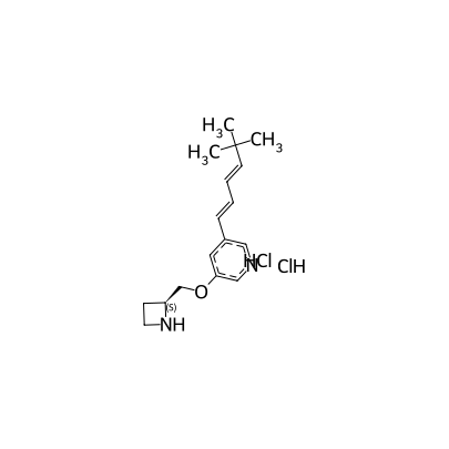 CC(C)(C)C=CC=Cc1cncc(OC[C@@H]2CCN2)c1.Cl.Cl